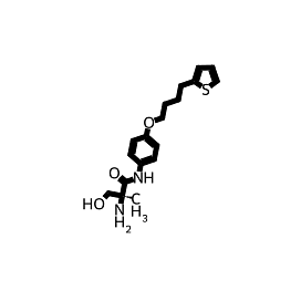 C[C@](N)(CO)C(=O)Nc1ccc(OCCCCc2cccs2)cc1